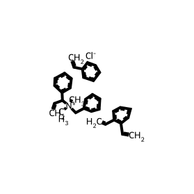 C=CC(c1ccccc1)[N+](C)(C)Cc1ccccc1.C=Cc1ccccc1.C=Cc1ccccc1C=C.[Cl-]